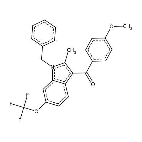 COc1ccc(C(=O)c2c(C)n(Cc3[c]cccc3)c3cc(OC(F)(F)F)ccc23)cc1